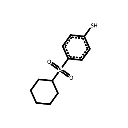 O=S(=O)(c1ccc(S)cc1)C1CCCCC1